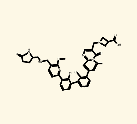 COc1nc(-c2cccc(-c3cccc(-c4cc(C)n5c(=O)c(CN6CC(C(=O)O)C6)cnc5c4)c3Cl)c2Cl)ccc1CNCC1CCC(=O)N1